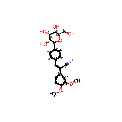 COc1ccc(/C(C#N)=C/c2ccc([C@@H]3O[C@H](CO)[C@@H](O)[C@H](O)[C@H]3O)cc2)cc1OC